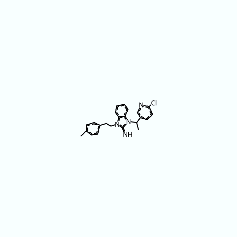 Cc1ccc(CCn2c(=N)n(C(C)c3ccc(Cl)nc3)c3ccccc32)cc1